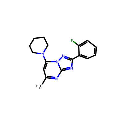 Cc1cc(N2CCCCC2)n2nc(-c3ccccc3F)nc2n1